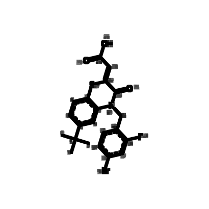 CC(C)(C)c1ccc2c(c1)N(Cc1ccc(Br)cc1F)C(=O)C(=CC(=O)O)S2